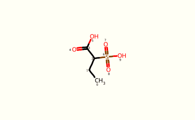 CCC(C(=O)O)S(=O)(=O)O